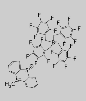 C[S+]1c2ccccc2[S+]([O-])c2ccccc21.Fc1c(F)c(F)c(C[B-](Cc2c(F)c(F)c(F)c(F)c2F)(Cc2c(F)c(F)c(F)c(F)c2F)Cc2c(F)c(F)c(F)c(F)c2F)c(F)c1F